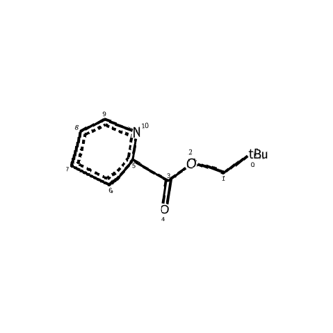 CC(C)(C)COC(=O)c1ccccn1